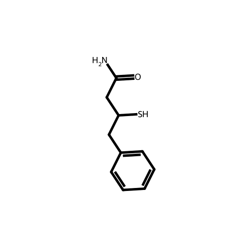 NC(=O)CC(S)Cc1ccccc1